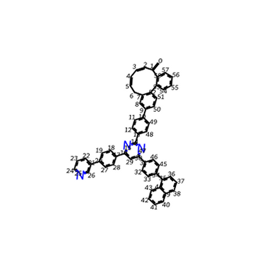 C=C1/C=C\C=C/Cc2cc(-c3ccc(-c4nc(-c5ccc(-c6cccnc6)cc5)cc(-c5ccc(-c6cccc7ccccc67)cc5)n4)cc3)ccc2-c2ccccc21